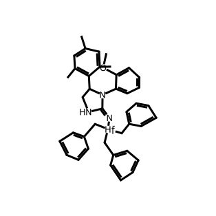 COc1ccccc1N1C(=[N][Hf]([CH2]c2ccccc2)([CH2]c2ccccc2)[CH2]c2ccccc2)NCC1c1c(C)cc(C)cc1C